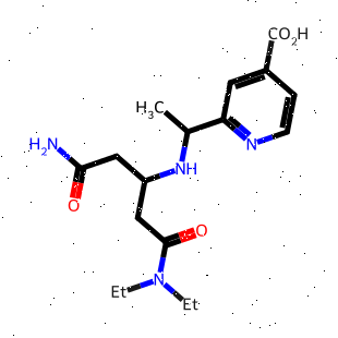 CCN(CC)C(=O)CC(CC(N)=O)NC(C)c1cc(C(=O)O)ccn1